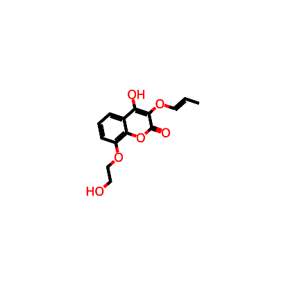 CC=COc1c(O)c2cccc(OCCO)c2oc1=O